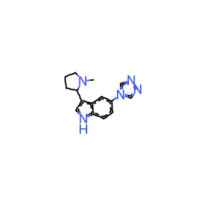 CN1CCCC1c1c[nH]c2ccc(-n3cnnc3)cc12